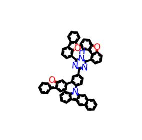 c1ccc2cc3c(cc2c1)c1ccccc1n3-c1ccc(C2=NC(c3cccc4oc5ccccc5c34)NC(c3cccc4c3oc3ccccc34)=N2)cc1-c1ccc2c(c1)oc1ccccc12